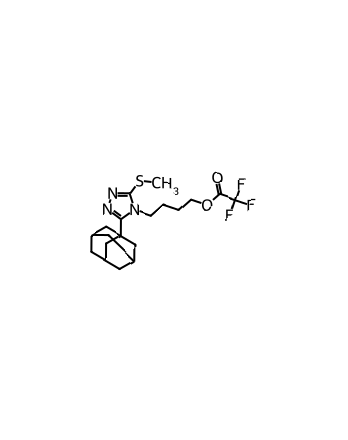 CSc1nnc(C23CC4CC(CC(C4)C2)C3)n1CCCCOC(=O)C(F)(F)F